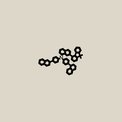 CC1(C)c2ccccc2-c2c(-c3ccc4cccc(N(c5ccc(-c6ccc7ccccc7c6)cc5)c5ccc(-c6cccc7ccccc67)cc5)c4c3)cccc21